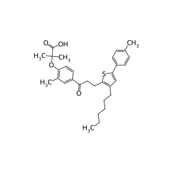 CCCCCCc1cc(-c2ccc(C)cc2)sc1CCC(=O)c1ccc(OC(C)(C)C(=O)O)c(C)c1